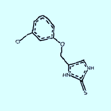 S=c1[nH]cc(COc2cccc(Cl)c2)[nH]1